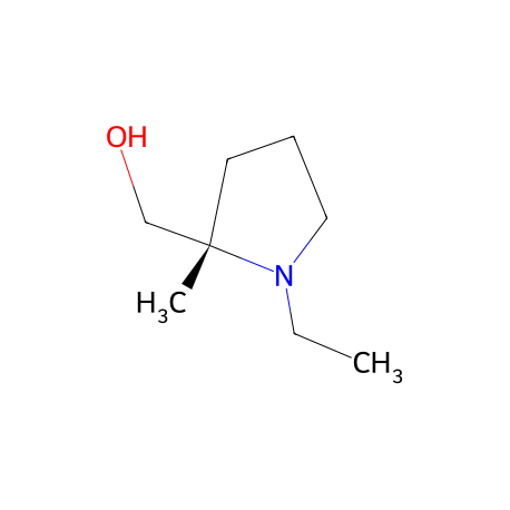 CCN1CCC[C@@]1(C)CO